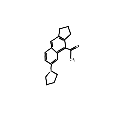 CC(=O)c1c2c(cc3ccc(N4CCCC4)cc13)CCC2